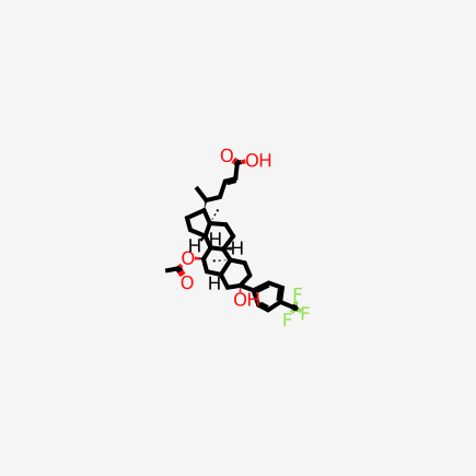 CC(=O)O[C@@H]1C[C@@H]2C[C@](O)(c3ccc(C(F)(F)F)cc3)CC[C@]2(C)[C@H]2CC[C@]3(C)[C@@H](C(C)CC=CC(=O)O)CC[C@H]3[C@H]12